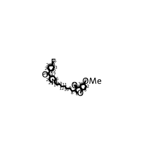 COc1ccc2occ(CCCCCCCN3CCC(C(=O)c4ccc(F)cc4)CC3)c(=O)c2c1